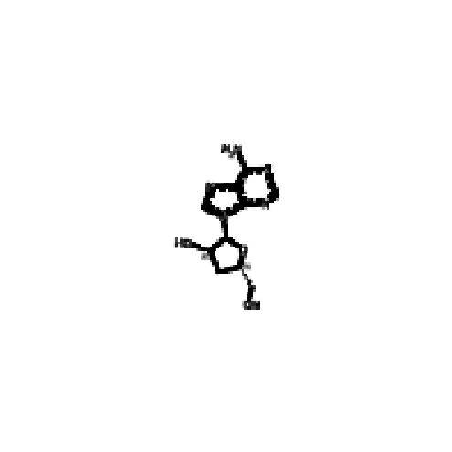 Nc1ncnc2c1ncn2C1O[C@H](CO)C[C@H]1O